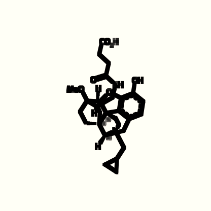 COC12CC[C@@]3(C[C@@H]1CNC(=O)CCC(=O)O)[C@H]1Cc4ccc(O)c5c4[C@@]3(CCN1CC1CC1)[C@H]2O5